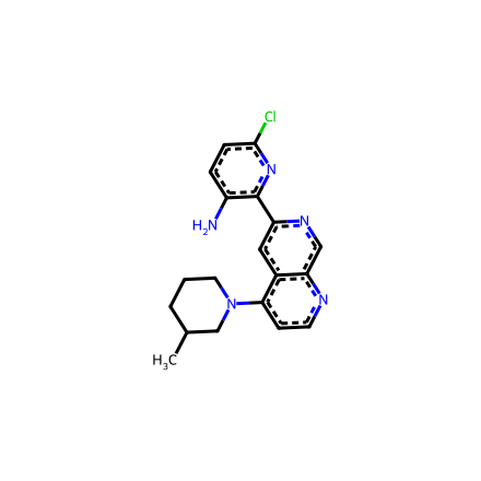 CC1CCCN(c2ccnc3cnc(-c4nc(Cl)ccc4N)cc23)C1